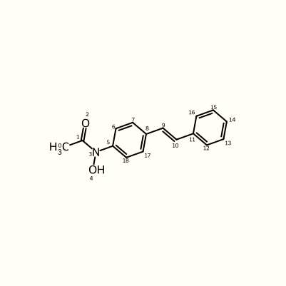 CC(=O)N(O)c1ccc(C=Cc2ccccc2)cc1